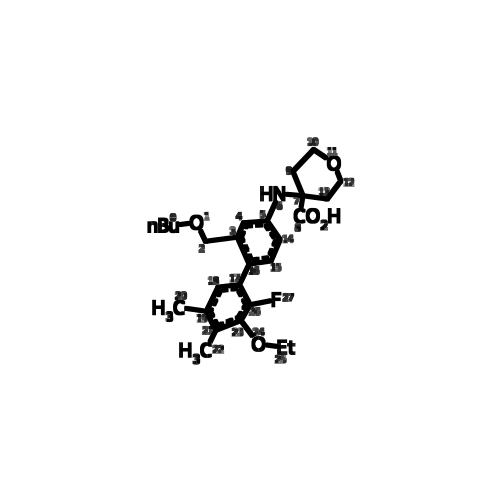 CCCCOCc1cc(NC2(C(=O)O)CCOCC2)ccc1-c1cc(C)c(C)c(OCC)c1F